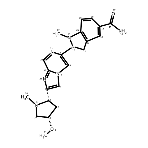 CO[C@H]1C[C@@H](c2cn3cc(N4Cc5cc(C(N)=O)ccc5N4C)ncc3n2)N(C)C1